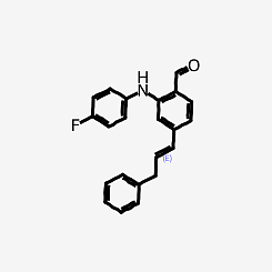 O=Cc1ccc(/C=C/Cc2ccccc2)cc1Nc1ccc(F)cc1